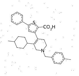 Cc1ccc(CN2CCC(c3cc(-c4ccccc4)sc3C(=O)O)=C(C3CCC(C)CC3)C2)cc1